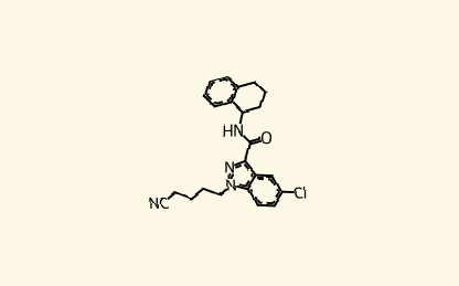 N#CCCCCn1nc(C(=O)NC2CCCc3ccccc32)c2cc(Cl)ccc21